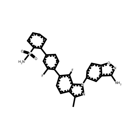 Cc1nn(-c2ccc3onc(N)c3c2)c2c(F)c(-c3ccc(-c4ccccc4S(N)(=O)=O)cc3F)ccc12